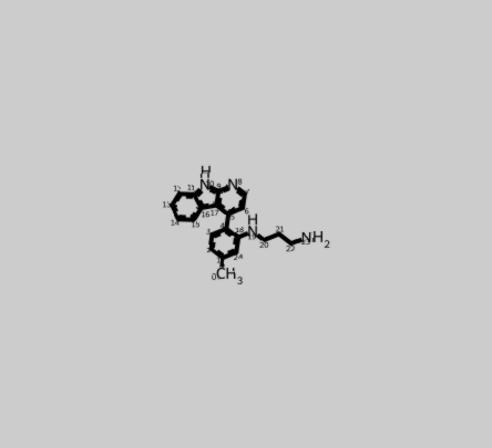 Cc1ccc(-c2ccnc3[nH]c4ccccc4c23)c(NCCCN)c1